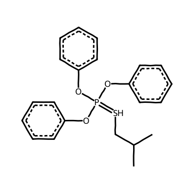 CC(C)C[SH]=P(Oc1ccccc1)(Oc1ccccc1)Oc1ccccc1